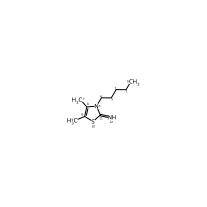 CCCCCn1c(C)c(C)sc1=N